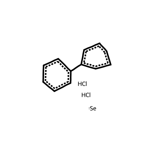 Cl.Cl.[Se].c1ccc(-c2ccccc2)cc1